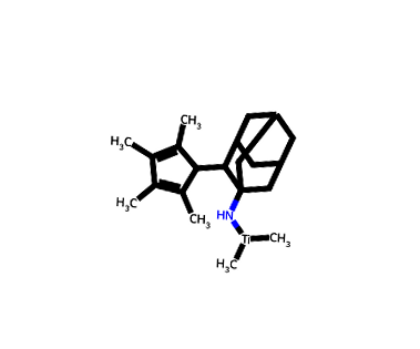 CC1=C(C)C(C2C3CC4CC(C3)CC2([NH][Ti]([CH3])[CH3])C4)C(C)=C1C